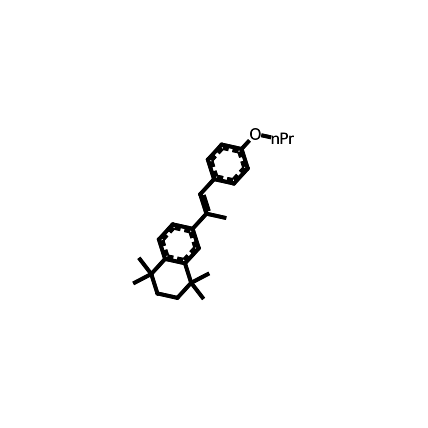 CCCOc1ccc(/C=C(\C)c2ccc3c(c2)C(C)(C)CCC3(C)C)cc1